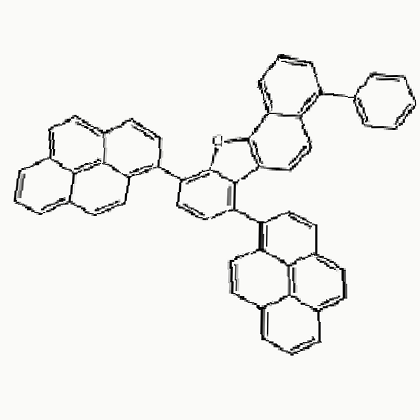 c1ccc(-c2cccc3c2ccc2c3oc3c(-c4ccc5ccc6cccc7ccc4c5c67)ccc(-c4ccc5ccc6cccc7ccc4c5c67)c32)cc1